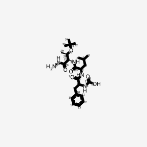 CC(C)CC(NC(=O)C(Cc1ccccc1)NC(=O)O)C(=O)N[C@H](C(=O)NN)[C@@H](C)OC(C)(C)C